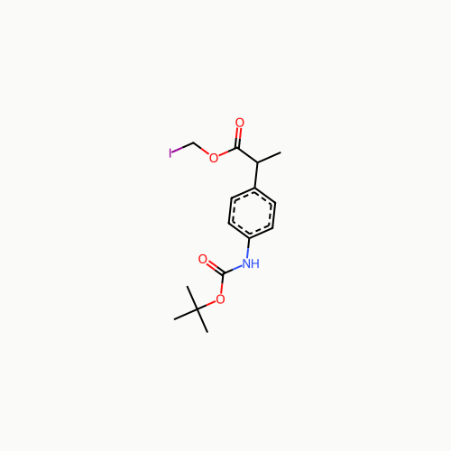 CC(C(=O)OCI)c1ccc(NC(=O)OC(C)(C)C)cc1